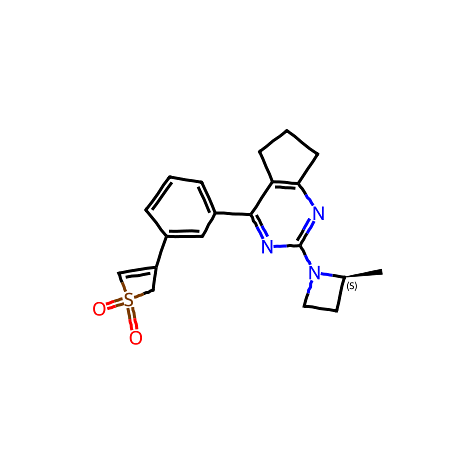 C[C@H]1CCN1c1nc2c(c(-c3cccc(C4=CS(=O)(=O)C4)c3)n1)CCC2